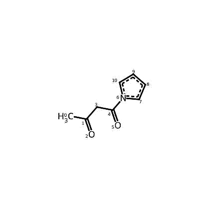 CC(=O)CC(=O)n1cccc1